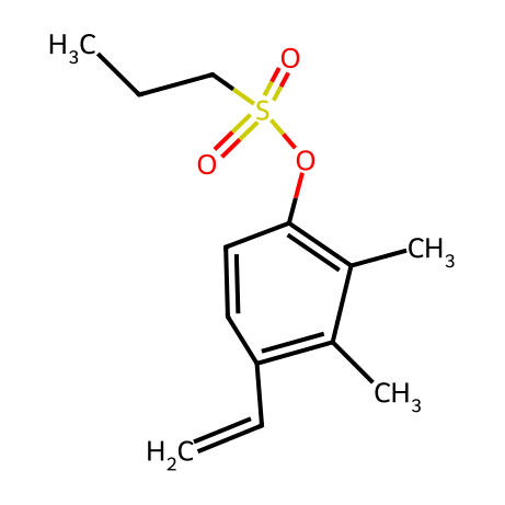 C=Cc1ccc(OS(=O)(=O)CCC)c(C)c1C